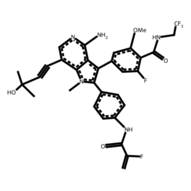 C=C(F)C(=O)Nc1ccc(-c2c(-c3cc(F)c(C(=O)NCC(F)(F)F)c(OC)c3)c3c(N)ncc(C#CC(C)(C)O)c3n2C)cc1